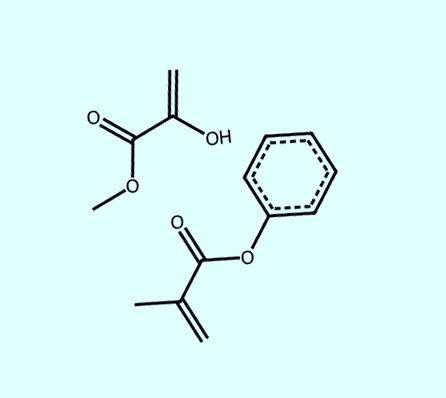 C=C(C)C(=O)Oc1ccccc1.C=C(O)C(=O)OC